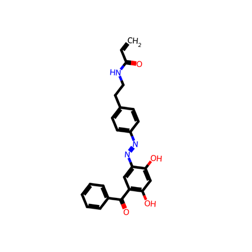 C=CC(=O)NCCc1ccc(N=Nc2cc(C(=O)c3ccccc3)c(O)cc2O)cc1